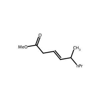 CCCC(C)/C=C/CC(=O)OC